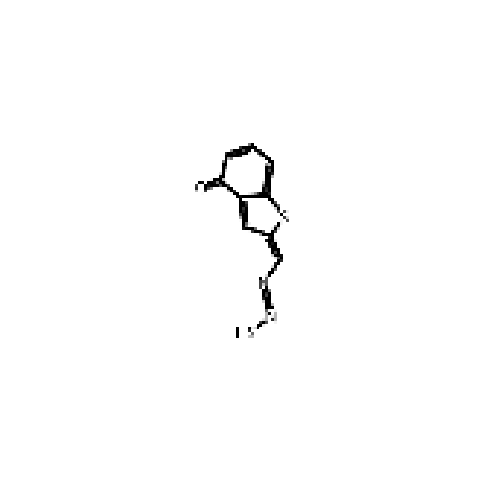 O=C1C=CC=c2sc(=CN=NS)cc21